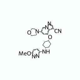 COc1ccc(N[C@H]2CC[C@@H](Oc3cc(N4CCOCC4)cn4ncc(C#N)c34)CC2)nn1